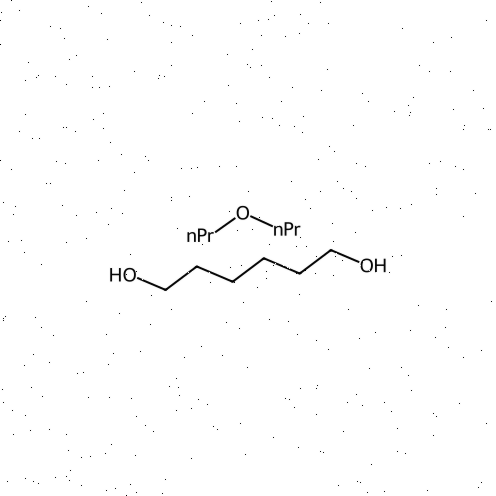 CCCOCCC.OCCCCCCO